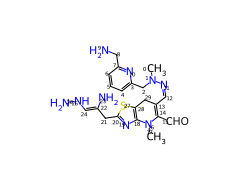 CN(Cc1cccc(CN)n1)/N=C\C1=C(C=O)N(C)c2nc(C/C(N)=C/NN)sc2C1